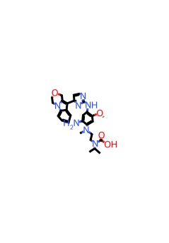 COc1cc(N(C)CCN(C(=O)O)C(C)C)c(N)cc1Nc1nccc(-c2c3n(c4ccccc24)CCOC3)n1